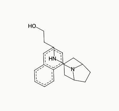 OCCCNC1CC2CCC(C1)N2c1cccc2ccccc12